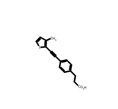 Cc1ccsc1C#Cc1ccc(CCC(=O)O)cc1